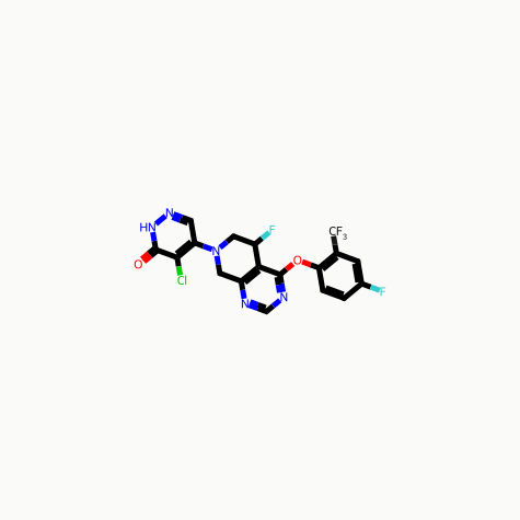 O=c1[nH]ncc(N2Cc3ncnc(Oc4ccc(F)cc4C(F)(F)F)c3C(F)C2)c1Cl